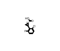 O=C(O)[C@H]1CC1c1c(F)cccc1Cl